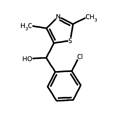 Cc1nc(C)c(C(O)c2ccccc2Cl)s1